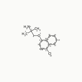 CC(C)(N)COc1cnc(Cl)c2ccccc12